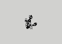 CC(=O)c1nn(CC(=O)N2[C@H](C(=O)NCCN3CCOCC3)C[C@@]3(C)CC[C@@H]23)c2c(C)cc(-c3cnc(C)nc3)cc12